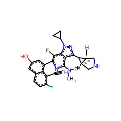 C#Cc1c(F)ccc2cc(O)cc(-c3nc(N(C)C(C)C)c4c(C5[C@H]6CNC[C@@H]56)nn(C5CC5)c4c3F)c12